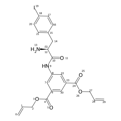 C=CCOC(=O)c1cc(NC(=O)[C@@H](N)Cc2ccc(I)cc2)cc(C(=O)OCC=C)c1